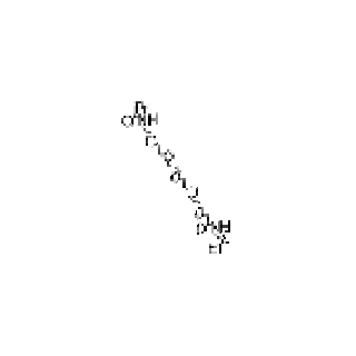 CCC(C)(C)CNC(=O)COCCOCCOCCOCCOCCNC(=O)C(C)C